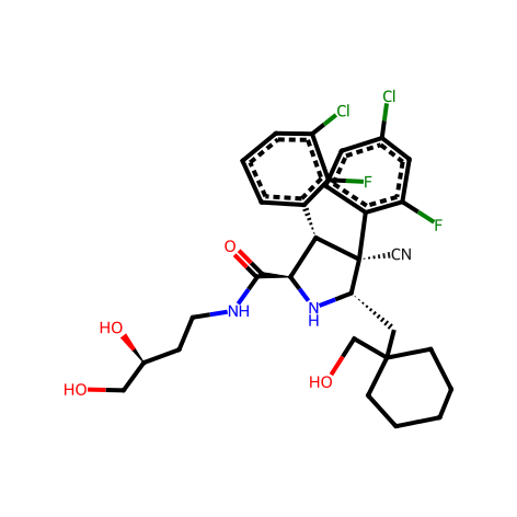 N#C[C@]1(c2ccc(Cl)cc2F)[C@H](CC2(CO)CCCCC2)N[C@@H](C(=O)NCC[C@H](O)CO)[C@@H]1c1cccc(Cl)c1F